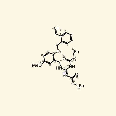 C=Cc1ccccc1COc1ccc(OC)cc1CN/C(=N/C(=O)OC(C)(C)C)NC(=O)OC(C)(C)C